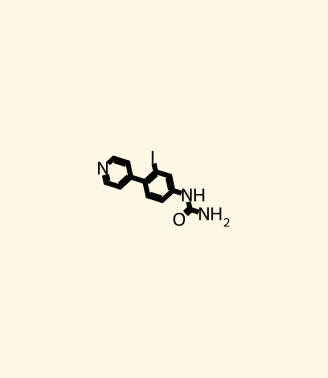 NC(=O)Nc1ccc(-c2ccncc2)c(I)c1